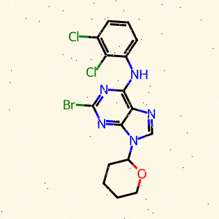 Clc1cccc(Nc2nc(Br)nc3c2ncn3C2CCCCO2)c1Cl